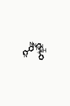 C[C@H](Nc1nccc(-n2cnc3cc(-c4cccnc4)ccc32)n1)c1ccccc1